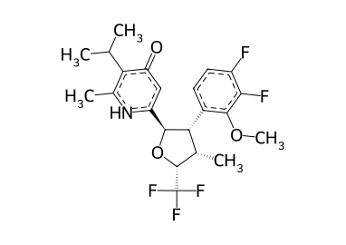 COc1c([C@@H]2[C@H](C)[C@H](C(F)(F)F)O[C@H]2c2cc(=O)c(C(C)C)c(C)[nH]2)ccc(F)c1F